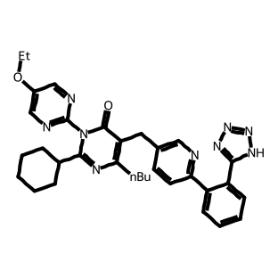 CCCCc1nc(C2CCCCC2)n(-c2ncc(OCC)cn2)c(=O)c1Cc1ccc(-c2ccccc2-c2nnn[nH]2)nc1